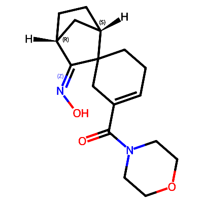 O=C(C1=CCCC2(C1)/C(=N\O)[C@@H]1CC[C@H]2C1)N1CCOCC1